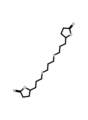 O=C1CCC(CCCSCCCSCCCC2CCC(=O)O2)O1